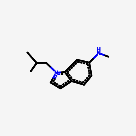 CNc1ccc2ccn(CC(C)C)c2c1